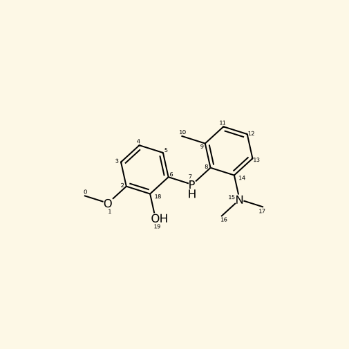 COc1cccc(Pc2c(C)cccc2N(C)C)c1O